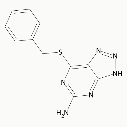 Nc1nc(SCc2ccccc2)c2nn[nH]c2n1